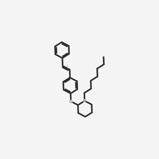 CCCCCCCN1CCCCC1Oc1ccc(/C=C/c2ccccc2)cc1